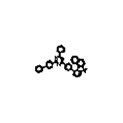 CC1(C)c2cccc(-c3ccc(-c4cc(-c5ccccc5)nc(-c5ccc(-c6ccccc6)cc5)n4)cc3)c2-c2c1ccc1ccccc21